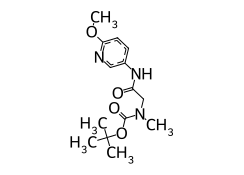 COc1ccc(NC(=O)CN(C)C(=O)OC(C)(C)C)cn1